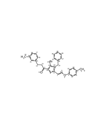 Cc1ccc(O/N=C/c2cc(C(=O)CCc3cccc(C)c3)c(C(C)C)n2Cc2ccccc2)cc1